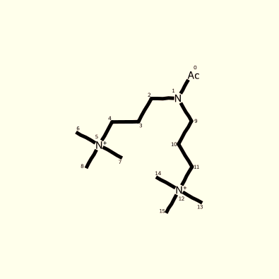 CC(=O)N(CCC[N+](C)(C)C)CCC[N+](C)(C)C